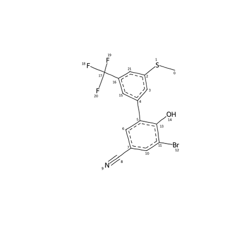 CSc1cc(-c2cc(C#N)cc(Br)c2O)cc(C(F)(F)F)c1